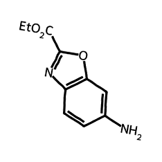 CCOC(=O)c1nc2ccc(N)cc2o1